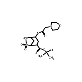 CCC(C)(C)OC(=O)C1CC(OC(=O)CN2CCOCC2)C2CC1S(=O)(=O)N2